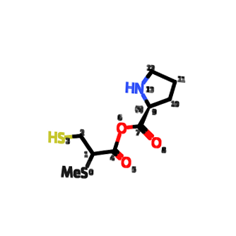 CSC(CS)C(=O)OC(=O)[C@@H]1CCCN1